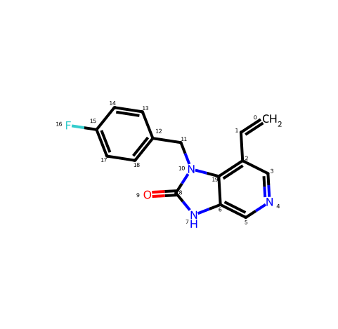 C=Cc1cncc2[nH]c(=O)n(Cc3ccc(F)cc3)c12